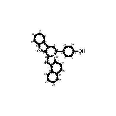 Oc1ccc(-c2cc3c4ccccc4sc3c3nc4c5ccccc5ccc4n23)cc1